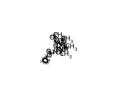 CC(=O)NC1C(OCCC(=O)OCc2ccccc2)OC(COC(C)=O)C(OC(C)=O)C1OC(C)=O